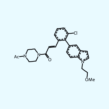 COCCn1ccc2cc(-c3c(Cl)[c]ccc3/C=C/C(=O)N3CCN(C(C)=O)CC3)ccc21